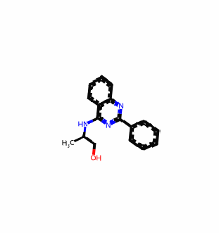 CC(CO)Nc1nc(-c2ccccc2)nc2ccccc12